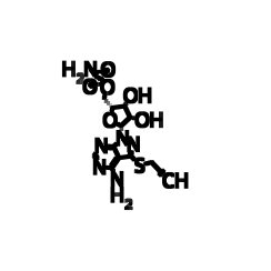 C#CCSc1nn([C@@H]2O[C@H](COS(N)(=O)=O)[C@@H](O)[C@H]2O)c2ncnc(N)c12